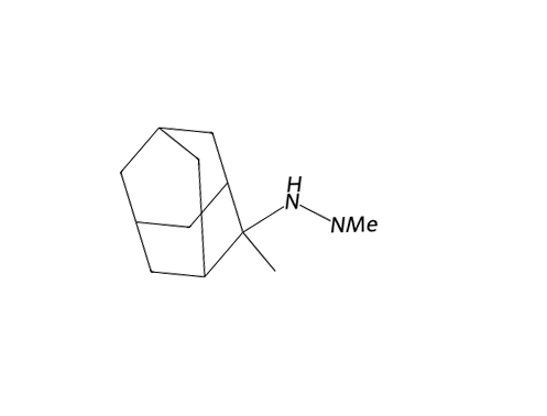 CNNC1(C)C2CC3CC(C2)CC1C3